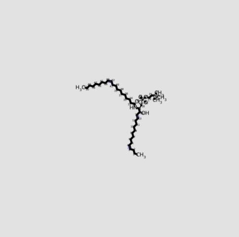 CCC/C=C\CCCCCCCC/C=C/[C@@H](O)[C@H](COP(=O)([O-])OCC[N+](C)(C)C)NC(=O)CCCCCCCCC/C=C\CCCCCCCC